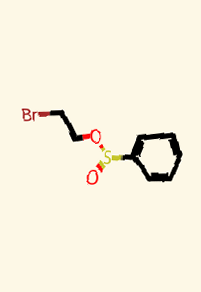 O=S(OCCBr)c1ccccc1